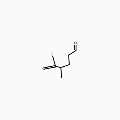 CC(CC[C]=O)C([O])=O